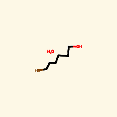 O.OCCCCCCS